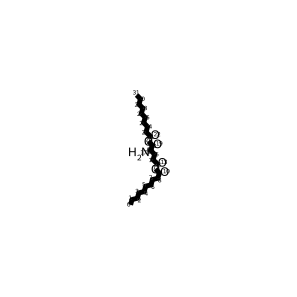 CCCCCCCCCC(=O)OC(=O)CC[C@H](N)C(=O)OC(=O)CCCCCCCCC